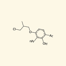 CCCc1c(OCC(C)CCl)ccc(C(C)=O)c1O